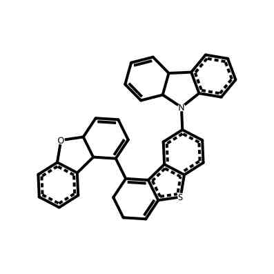 C1=CC2Oc3ccccc3C2C(C2=c3c(sc4ccc(N5c6ccccc6C6C=CC=CC65)cc34)=CCC2)=C1